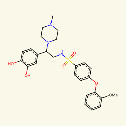 COc1ccccc1Oc1ccc(S(=O)(=O)NCC(c2ccc(O)c(O)c2)N2CCN(C)CC2)cc1